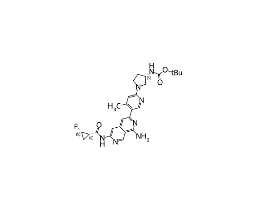 Cc1cc(N2CC[C@H](NC(=O)OC(C)(C)C)C2)ncc1-c1cc2cc(NC(=O)[C@@H]3C[C@@H]3F)ncc2c(N)n1